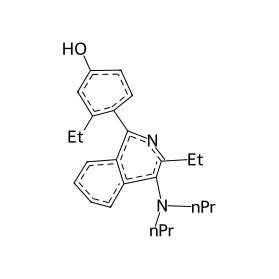 CCCN(CCC)c1c(CC)nc(-c2ccc(O)cc2CC)c2ccccc12